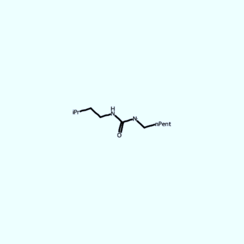 CCCCCC[N]C(=O)NCCC(C)C